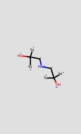 [2H]C([2H])(O)CNCC([2H])([2H])O